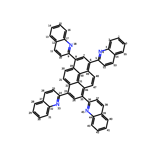 c1ccc2nc(-c3cc(-c4ccc5ccccc5n4)c4ccc5c(-c6ccc7ccccc7n6)cc(-c6ccc7ccccc7n6)c6ccc3c4c65)ccc2c1